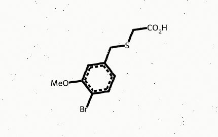 COc1cc(CSCC(=O)O)ccc1Br